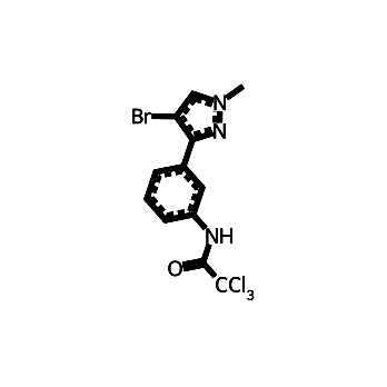 Cn1cc(Br)c(-c2cccc(NC(=O)C(Cl)(Cl)Cl)c2)n1